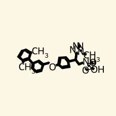 Cc1cccc(C)c1-c1cccc(COc2ccc(C(CNS(=O)(=O)O)c3nnnn3C)cc2)c1